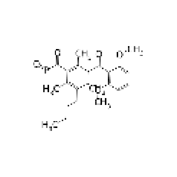 CCCCc1c(C)c(C(=O)P=O)c(C)c(C(=O)c2c(OC)cccc2OC)c1C